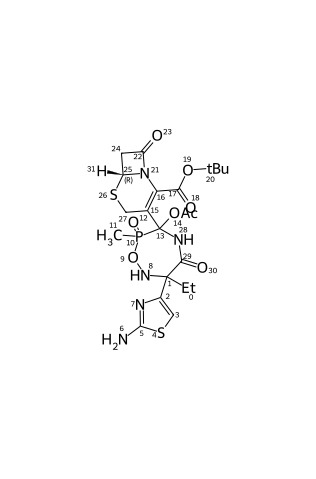 CCC1(c2csc(N)n2)NOP(C)(=O)C(OC(C)=O)(C2=C(C(=O)OC(C)(C)C)N3C(=O)C[C@H]3SC2)NC1=O